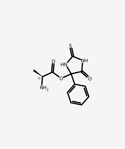 C[C@H](N)C(=O)OC1(c2ccccc2)NC(=S)NC1=O